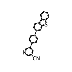 N#Cc1cncc(-c2ccc(-c3ccc4c(c3)sc3ccccc34)cc2)c1